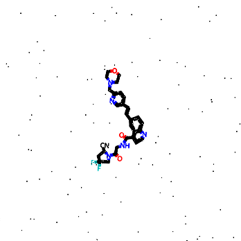 N#CC1CC(F)(F)CN1C(=O)CNC(=O)c1ccnc2ccc(/C=C/c3ccc(CN4CCOCC4)nc3)cc12